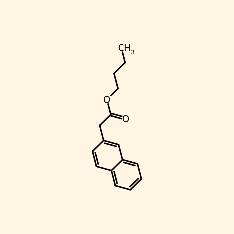 CCCCOC(=O)Cc1ccc2ccccc2c1